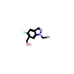 CC(C)Cn1ncc2cc(F)c(CO)cc21